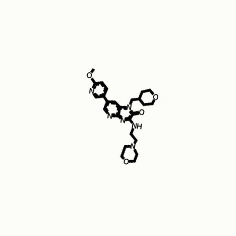 COc1ccc(-c2cnc3nc(NCCN4CCOCC4)c(=O)n(CC4CCOCC4)c3c2)cn1